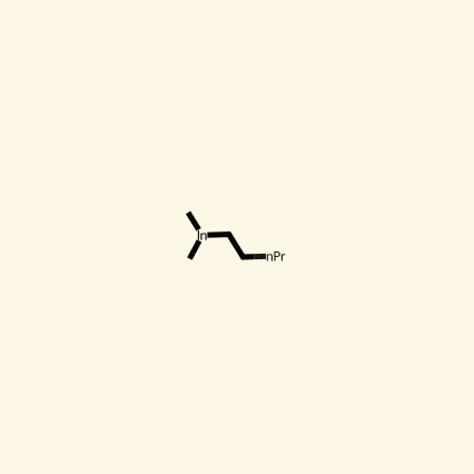 CCCC[CH2][In]([CH3])[CH3]